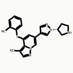 N#Cc1ccccc1Sc1cc(-c2cnn([C@@H]3CCNC3)c2)cn2ncc(C#N)c12